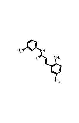 Nc1cccc(NC(=O)C=Cc2cc(N)ccc2N)c1